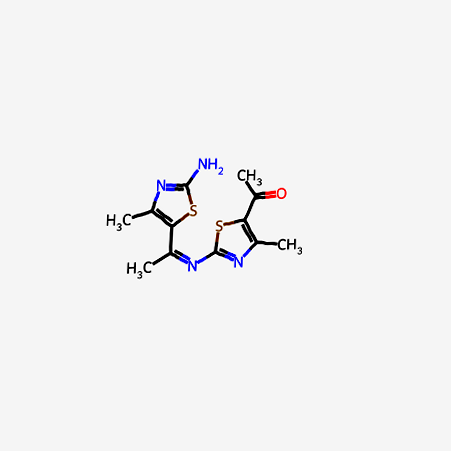 CC(=O)c1sc(N=C(C)c2sc(N)nc2C)nc1C